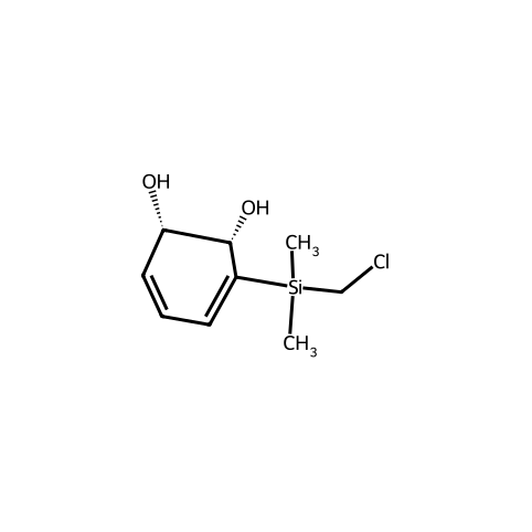 C[Si](C)(CCl)C1=CC=C[C@H](O)[C@@H]1O